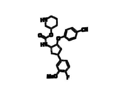 COc1cc(C2CC(NC(=O)OC3CCCNC3)C(Oc3ccc(C#N)cc3)C2)ccc1F